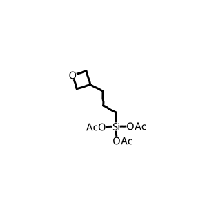 CC(=O)O[Si](CCCC1COC1)(OC(C)=O)OC(C)=O